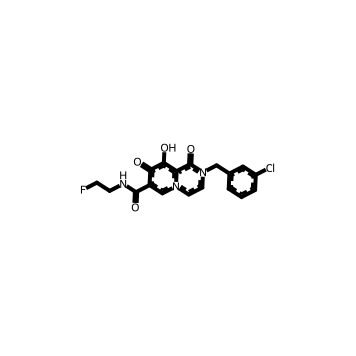 O=C(NCCF)c1cn2ccn(Cc3cccc(Cl)c3)c(=O)c2c(O)c1=O